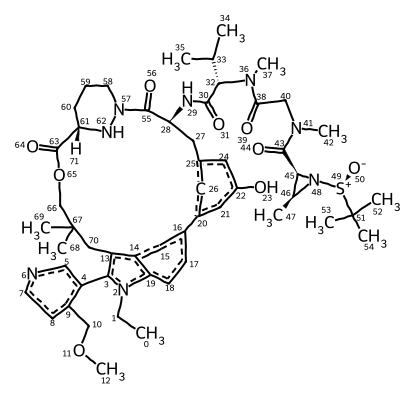 CCn1c(-c2cnccc2COC)c2c3cc(ccc31)-c1cc(O)cc(c1)C[C@H](NC(=O)[C@H](C(C)C)N(C)C(=O)CN(C)C(=O)[C@@H]1[C@H](C)N1[S@@+]([O-])C(C)(C)C)C(=O)N1CCC[C@H](N1)C(=O)OCC(C)(C)C2